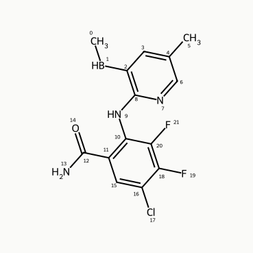 CBc1cc(C)cnc1Nc1c(C(N)=O)cc(Cl)c(F)c1F